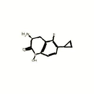 N[C@H]1Cc2c(ccc(C3CC3)c2F)N(O)C1=O